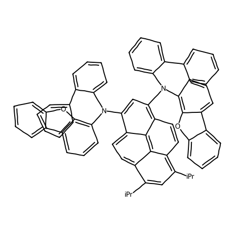 CC(C)c1cc(C(C)C)c2ccc3c(N(c4ccccc4-c4ccccc4)c4cccc5c4oc4ccccc45)cc(N(c4ccccc4-c4ccccc4)c4cccc5c4oc4ccccc45)c4ccc1c2c43